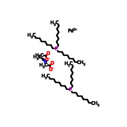 CC#N.CC(=O)[O-].CC(=O)[O-].CCCCCCCCP(CCCCCCCC)CCCCCCCC.CCCCCCCCP(CCCCCCCC)CCCCCCCC.[Pd+2]